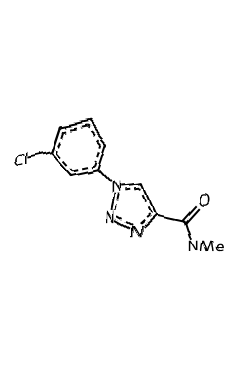 CNC(=O)c1cn(-c2cccc(Cl)c2)nn1